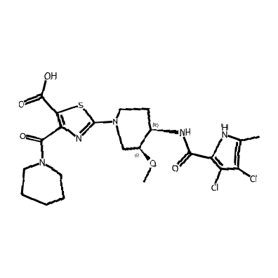 CO[C@H]1CN(c2nc(C(=O)N3CCCCC3)c(C(=O)O)s2)CC[C@H]1NC(=O)c1[nH]c(C)c(Cl)c1Cl